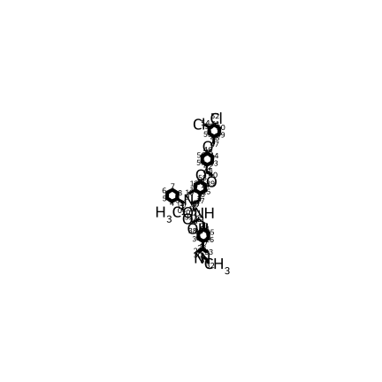 CC[C@@H](c1ccccc1)N1Cc2cc3c(cc2C[C@H]1C(=O)N[C@@H](Cc1ccc(-c2cnn(C)c2)cc1)C(=O)O)OC[C@H](c1ccc(OCc2ccc(Cl)c(Cl)c2)cc1)O3